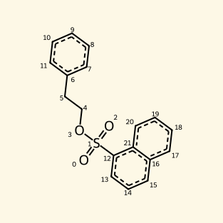 O=S(=O)(OCCc1ccccc1)c1cccc2ccccc12